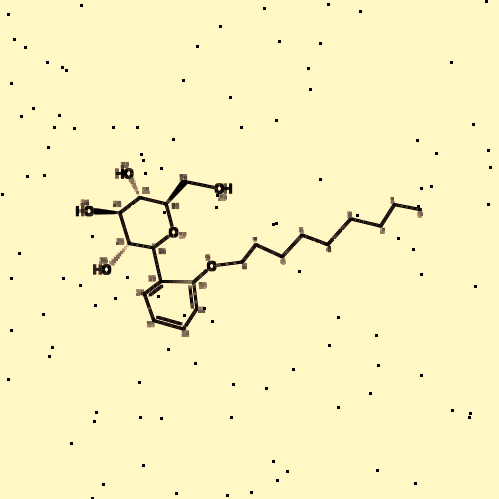 CCCCCCCCCOc1ccccc1[C]1O[C@H](CO)[C@@H](O)[C@H](O)[C@H]1O